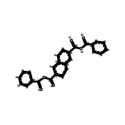 O=C(OC(=O)c1ccc2cc(C(=O)OC(=O)c3ccccc3)ccc2c1)c1ccccc1